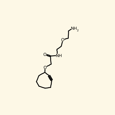 NCCOCCNC(=O)COC1C#CCCCCC1